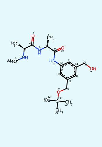 CON[C@@H](C)C(=O)N[C@@H](C)C(=O)Nc1cc(CO)cc(CO[Si](C)(C)C(C)(C)C)c1